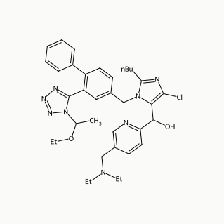 CCCCc1nc(Cl)c(C(O)c2ccc(CN(CC)CC)cn2)n1Cc1ccc(-c2ccccc2)c(-c2nnnn2C(C)OCC)c1